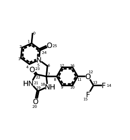 Cc1cccn(CC2(c3ccc(OC(F)F)cc3)NC(=O)NC2=O)c1=O